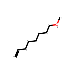 C=CCCCCCCOC